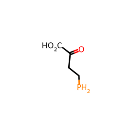 O=C(O)C(=O)CCP